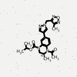 CC(=O)N1c2ccc(-c3cnn(Cc4nonc4C)c3)cc2N(C(=O)OC(C)C)C[C@@H]1C